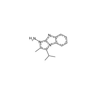 Cc1c(C(C)C)n2c3ccccc3nc2n1N